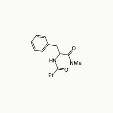 CCC(=O)NC(Cc1ccccc1)C(=O)NC